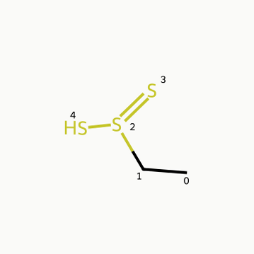 CCS(=S)S